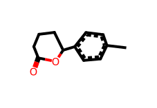 Cc1ccc(C2CCCC(=O)O2)cc1